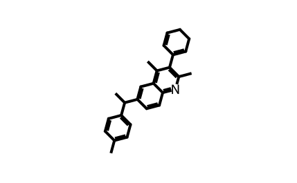 Cc1ccc(C(C)c2ccc3nc(C)c(C4=CCCC=C4)c(C)c3c2)cc1